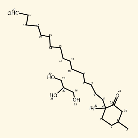 CC1CCC(CCCCCCCCCCCCCCCC=O)(C(C)C)C(=O)C1.OCC(O)CO